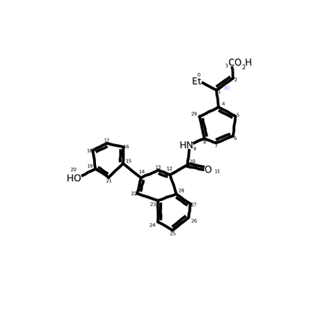 CC/C(=C\C(=O)O)c1cccc(NC(=O)c2cc(-c3cccc(O)c3)cc3ccccc23)c1